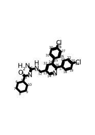 N/C(=N\C(=O)C1CCCCC1)NCc1cnc(-c2ccc(Cl)cc2)c(-c2ccc(Cl)cc2)c1